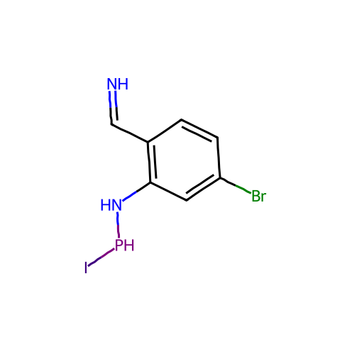 N=Cc1ccc(Br)cc1NPI